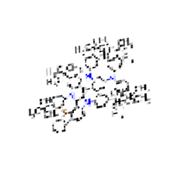 CC(C)(C)c1ccc(N(c2ccc(C(C)(C)C)cc2)c2ccc3c(c2)N(c2ccc(C(C)(C)C)cc2)c2cc(C(C)(C)C)cc4c2B3c2c(c3c5sc6ccccc6c5ccc3n2-c2ccc(C(C)(C)C)cc2)N4c2ccc(C(C)(C)C)cc2)cc1